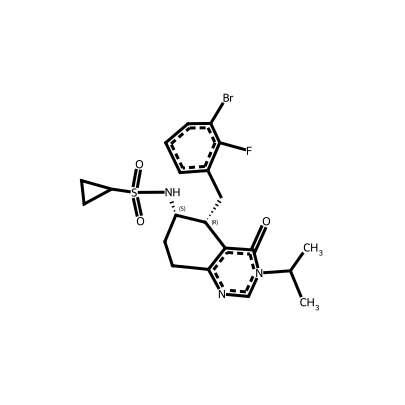 CC(C)n1cnc2c(c1=O)[C@@H](Cc1cccc(Br)c1F)[C@@H](NS(=O)(=O)C1CC1)CC2